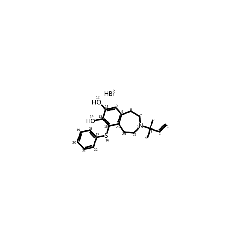 Br.C=CC(C)(C)N1CCc2cc(O)c(O)c(Sc3ccccc3)c2CC1